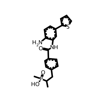 CC(Cc1ccc(C(=O)Nc2cc(-c3cccs3)ccc2N)cc1)P(C)(=O)O